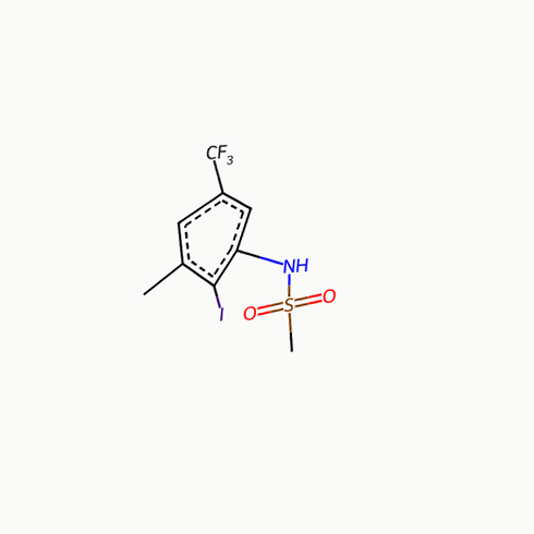 Cc1cc(C(F)(F)F)cc(NS(C)(=O)=O)c1I